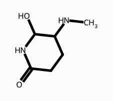 CNC1CCC(=O)NC1O